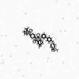 CCCN1CCN(Cc2ccc(-c3cccc(-n4c(=O)n([C@H]5CC[C@@H](NC(=O)C6(N(C)C)CC6)CC5)c(=O)c5cc(F)cnc54)c3)cc2)CC1